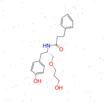 O=C(CCc1ccccc1)N[C@H](COCCCO)Cc1ccc(O)cc1